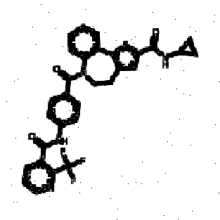 O=C(NC1CC1)c1cc2c(s1)-c1ccccc1N(C(=O)c1ccc(NC(=O)c3cccnc3C(F)(F)F)cc1)CC2